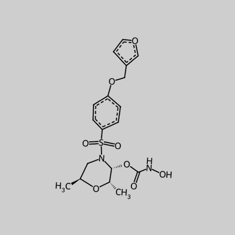 C[C@@H]1O[C@@H](C)CN(S(=O)(=O)c2ccc(OCc3ccoc3)cc2)[C@@H]1OC(=O)NO